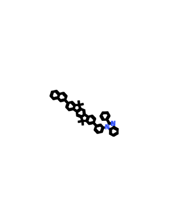 CC1(C)c2cc(-c3cccc(-n4c(-c5ccccc5)nc5ccccc54)c3)ccc2-c2cc3c(cc21)-c1ccc(-c2ccc4ccccc4c2)cc1C3(C)C